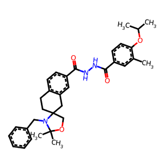 Cc1cc(C(=O)NNC(=O)c2ccc3c(c2)CC2(CC3)COC(C)(C)N2Cc2ccccc2)ccc1OC(C)C